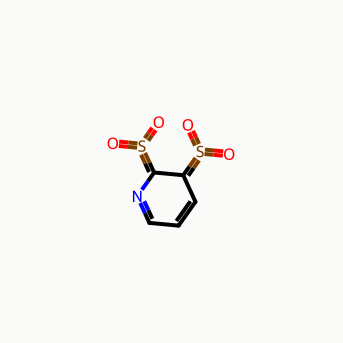 O=S(=O)=C1C=CC=NC1=S(=O)=O